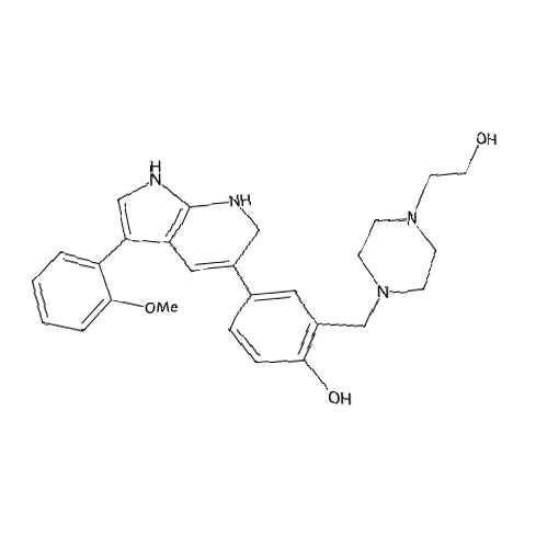 COc1ccccc1-c1c[nH]c2c1C=C(c1ccc(O)c(CN3CCN(CCO)CC3)c1)CN2